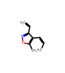 C=Cc1noc(C)c1/C=C\C